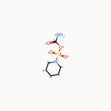 NC(=O)OS(=O)(=O)N1CCCCC1